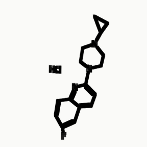 Cl.Fc1ccc2nc(N3CCN(C4CC4)CC3)ccc2c1